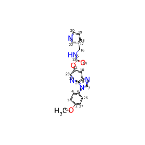 COc1ccc(-n2cnc3cc(OC(=O)NCc4cccnc4)cnc32)cc1